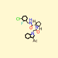 CC(=O)c1cn(CC(=O)N2[C@@H]3CC[C@@H](C3)[C@H]2C(=O)NCc2cccc(Cl)c2F)c2ccccc12